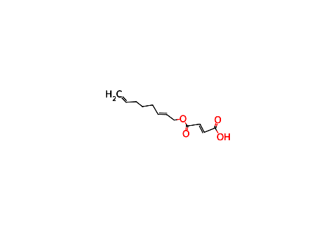 C=CCCCC=CCOC(=O)/C=C/C(=O)O